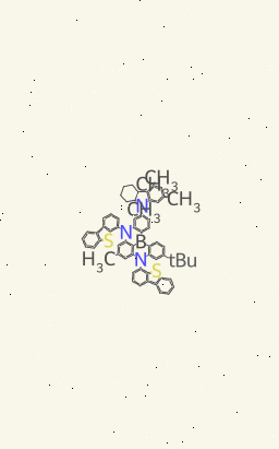 Cc1cc2c3c(c1)N(c1cccc4c1sc1ccccc14)c1cc(C(C)(C)C)ccc1B3c1ccc(N3c4cc(C)cc(C)c4C4(C)CCCCC34C)cc1N2c1cccc2c1sc1ccccc12